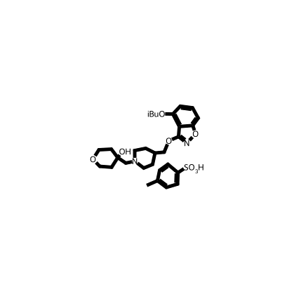 CC(C)COc1cccc2onc(OCC3CCN(CC4(O)CCOCC4)CC3)c12.Cc1ccc(S(=O)(=O)O)cc1